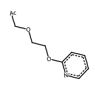 CC(=O)COCCOc1ccccn1